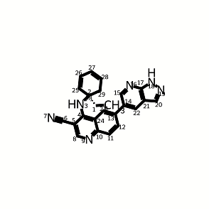 CC[C@]1(Nc2c(C#N)cnc3ccc(-c4cnc5[nH]ncc5c4)cc23)C=CC=CC1